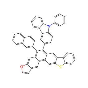 c1ccc(-n2c3ccccc3c3cc(-c4c(-c5ccc6ccccc6c5)c5cc6occc6cc5c5cc6sc7ccccc7c6cc45)ccc32)cc1